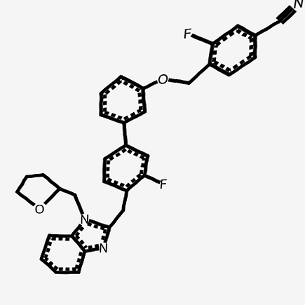 N#Cc1ccc(COc2cccc(-c3ccc(Cc4nc5ccccc5n4CC4CCCO4)c(F)c3)c2)c(F)c1